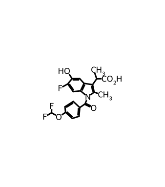 Cc1c(C(C)C(=O)O)c2cc(O)c(F)cc2n1C(=O)c1ccc(OC(F)F)cc1